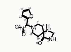 O=C1NCNC12CCN(C(c1ccco1)[N+](=O)[O-])CC2